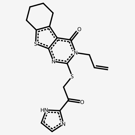 C=CCn1c(SCC(=O)c2ncc[nH]2)nc2sc3c(c2c1=O)CCCC3